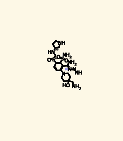 N=N/N=C(\N)c1c(N2CCC(O)(CN)CC2)ccc([S+]([O-])CN[C@@H]2CCNC2)c1S(N)(=O)=O